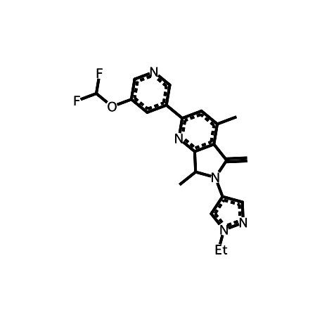 C=C1c2c(C)cc(-c3cncc(OC(F)F)c3)nc2C(C)N1c1cnn(CC)c1